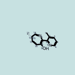 Cc1cccnc1C1=C(O)C=C[C@H](C)C=N1